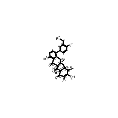 CCc1ccc(-c2ccc(O)c3c2C[C@]2(C)C[C@]4(C)C(C(C)C)C(O)=C(C(C)=O)C(=O)[C@]4(O)C(O)=C2C3=O)cc1CC(C)C